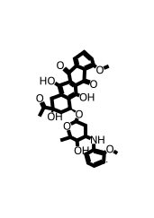 COc1[c]cccc1NC1CC(O[C@H]2C[C@](O)(C(C)=O)Cc3c(O)c4c(c(O)c32)C(=O)c2c(OC)cccc2C4=O)OC(C)C1O